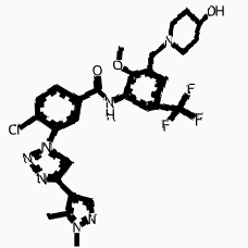 COc1c(CN2CCC(O)CC2)cc(C(F)(F)F)cc1NC(=O)c1ccc(Cl)c(-n2cc(-c3cnn(C)c3C)nn2)c1